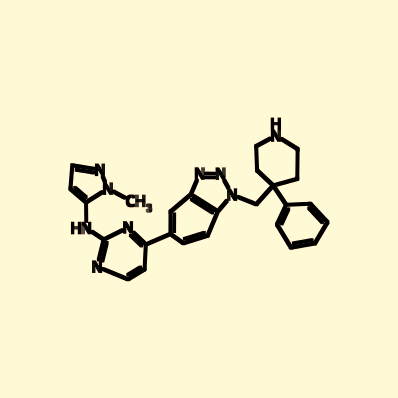 Cn1nccc1Nc1nccc(-c2ccc3c(c2)nnn3CC2(c3ccccc3)CCNCC2)n1